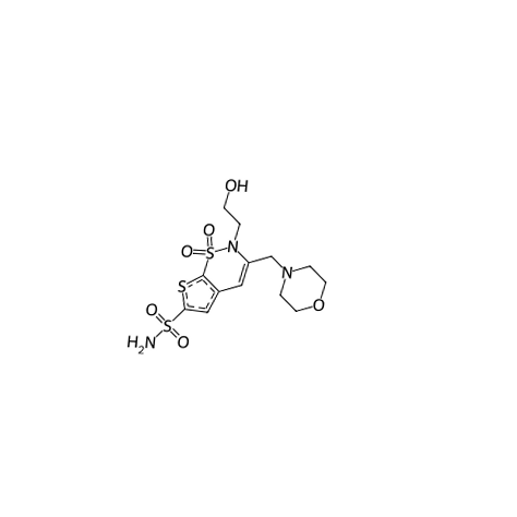 NS(=O)(=O)c1cc2c(s1)S(=O)(=O)N(CCO)C(CN1CCOCC1)=C2